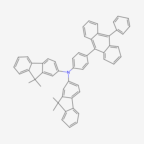 CC1(C)c2ccccc2-c2ccc(N(c3ccc(-c4c5ccccc5c(-c5ccccc5)c5ccccc45)cc3)c3ccc4c(c3)C(C)(C)c3ccccc3-4)cc21